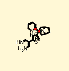 CCOC1(C2=CC=CCN2)CC2CCC(C1)N2C(=O)c1csc(/C(C=N)=C/N)c1